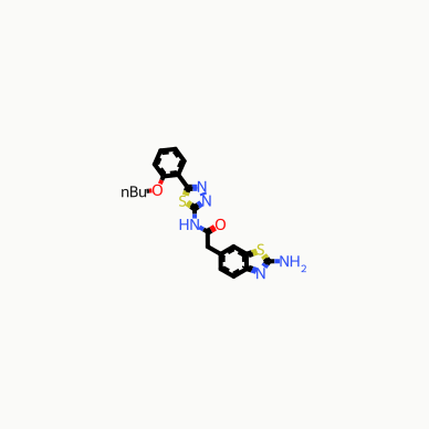 CCCCOc1ccccc1-c1nnc(NC(=O)Cc2ccc3nc(N)sc3c2)s1